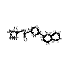 O=C(Nc1nnn[nH]1)c1csc(-c2ccc3ccccc3n2)n1